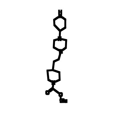 CC(C)(C)OC(=O)N1CCC(CCN2CCN(C3CCNCC3)CC2)CC1